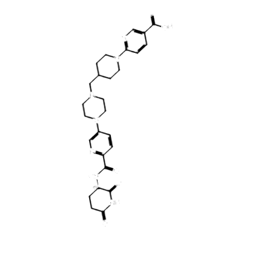 O=C1CC[C@@H](NC(=O)c2ccc(N3CCN(CC4CCN(c5ccc(C(=O)O)cn5)CC4)CC3)cn2)C(=O)N1